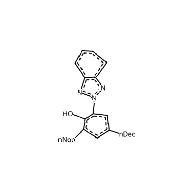 CCCCCCCCCCc1cc(CCCCCCCCC)c(O)c(-n2nc3ccccc3n2)c1